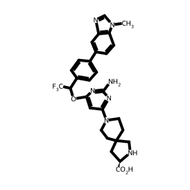 Cn1cnc2cc(-c3ccc(C(Oc4cc(N5CCC6(CC5)CN[C@H](C(=O)O)C6)nc(N)n4)C(F)(F)F)cc3)ccc21